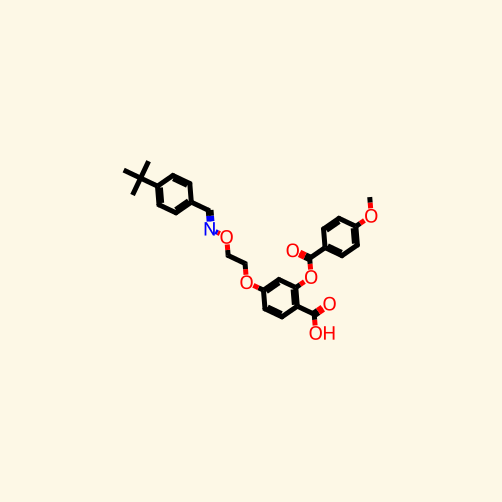 COc1ccc(C(=O)Oc2cc(OCCON=Cc3ccc(C(C)(C)C)cc3)ccc2C(=O)O)cc1